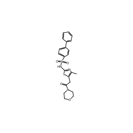 Cc1nc(NS(=O)(=O)c2ccc(-c3ccccc3)cc2)sc1CC(=O)N1CCOCC1